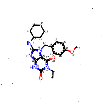 CCn1c(=O)[nH]c2nc(NC3CCCCC3)n(Cc3ccc(OC)cc3)c2c1=O